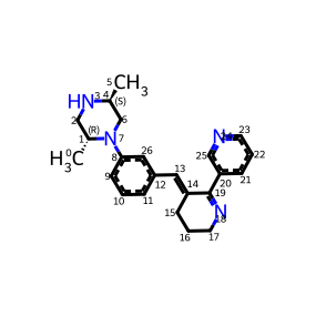 C[C@@H]1CN[C@@H](C)CN1c1cccc(C=C2CCCN=C2c2cccnc2)c1